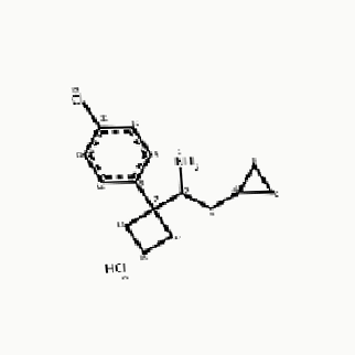 Cl.NC(CC1CC1)C1(c2ccc(Cl)cc2)CCC1